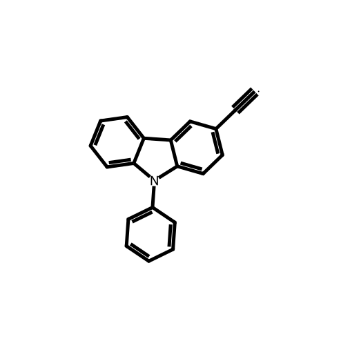 [C]#Cc1ccc2c(c1)c1ccccc1n2-c1ccccc1